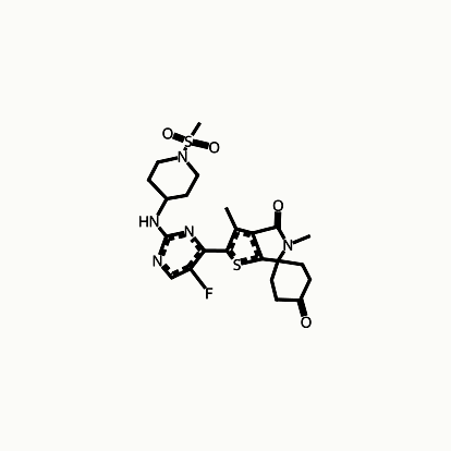 Cc1c(-c2nc(NC3CCN(S(C)(=O)=O)CC3)ncc2F)sc2c1C(=O)N(C)C21CCC(=O)CC1